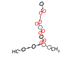 C#Cc1ccc(C#Cc2ccc(C#CC3(OC(=O)c4ccc(OC(=O)C5CCC(C(=O)OCCCCOC(=O)/C=C/c6ccccc6)CC5)cc4)CCC(C4CCC(C)CC4)CC3)cc2)cc1